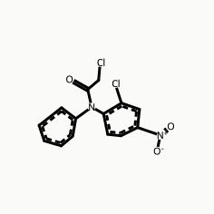 O=C(CCl)N(c1ccccc1)c1ccc([N+](=O)[O-])cc1Cl